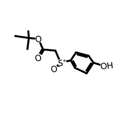 CC(C)(C)OC(=O)C[S+]([O-])c1ccc(O)cc1